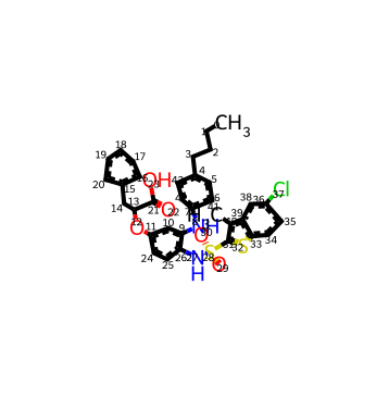 CCCCc1ccc(Nc2cc(OC(Cc3ccccc3)C(=O)O)ccc2NS(=O)(=O)c2sc3ccc(Cl)cc3c2C)cc1